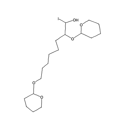 OC(I)C(CCCCCCOC1CCCCO1)OC1CCCCO1